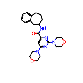 O=C(NC1CCCc2ccccc2C1)c1cc(N2CCOCC2)nc(N2CCOCC2)n1